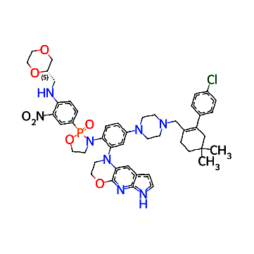 CC1(C)CCC(CN2CCN(c3ccc(N4CCOP4(=O)c4ccc(NC[C@H]5COCCO5)c([N+](=O)[O-])c4)c(N4CCOc5nc6[nH]ccc6cc54)c3)CC2)=C(c2ccc(Cl)cc2)C1